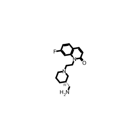 NC[C@@H]1CCCN(CCn2c(=O)ccc3ccc(F)cc32)C1